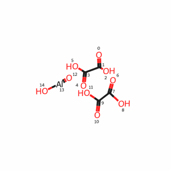 O=C(O)C(=O)O.O=C(O)C(=O)O.[O]=[Al][OH]